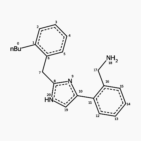 CCCCc1ccccc1Cc1nc(-c2ccccc2CN)c[nH]1